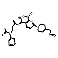 C=C(CCN(C(C)=O)c1cccnc1)/N=C(\S)c1ccc(N2CCC(CN=O)CC2)nc1[N+](=O)[O-]